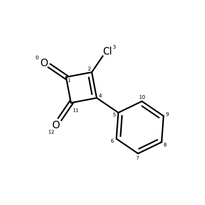 O=c1c(Cl)c(-c2ccccc2)c1=O